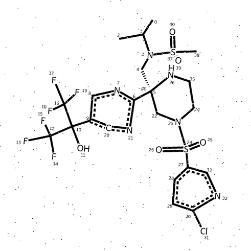 CC(C)N(C[C@@]1(c2ncc(C(O)(C(F)(F)F)C(F)(F)F)cn2)CN(S(=O)(=O)c2ccc(Cl)nc2)CCN1)S(C)(=O)=O